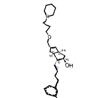 Cc1cccc(CC/C=C/[C@@H]2[C@H]3CC(COCCCN4CCCCC4)=C[C@H]3C[C@H]2O)c1